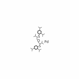 CC(C)c1ccc(SC(COCC(Sc2ccc(C(C)C)cc2C(C)C)C(C)C)C(C)C)c(C(C)C)c1.[Pd]